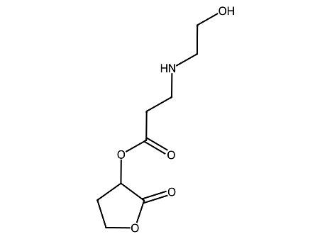 O=C(CCNCCO)OC1CCOC1=O